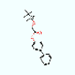 CC(C)(C)[Si](C)(C)OCC(=O)Oc1ccc(-c2ccccc2)cc1